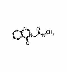 C=NC(=O)Cn1cnc2ccccc2c1=O